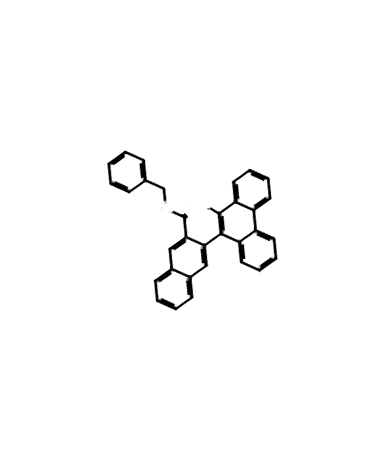 O=C(OCc1ccccc1)c1cc2ccccc2cc1-c1c(I)c2ccccc2c2ccccc12